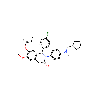 CC[C@@H](C)Oc1cc2c(cc1OC)CC(=O)N(c1ccc(N(C)CC3CCCC3)cc1)C2c1ccc(Cl)cc1